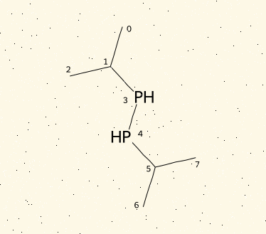 CC(C)PPC(C)C